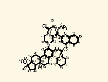 CCCN(C(=O)c1ccc2ccccc2n1)[C@@H](C)C(=O)N1CCN(c2cc3c(cc2OC(=O)N2CCCCC2)CC[C@@H]2C3CC[C@@]3(C)C2CC[C@]3(C)O)CC1